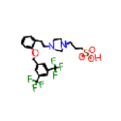 O=S(=O)(O)CCCN1CCN(CCc2ccccc2OCc2cc(C(F)(F)F)cc(C(F)(F)F)c2)CC1